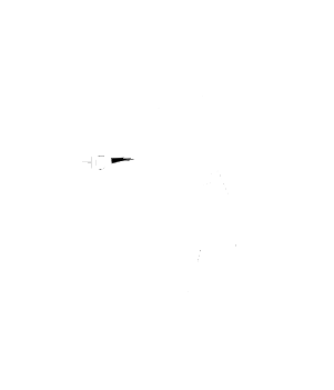 O[C@H]1CCOc2ccc(Cl)cc21